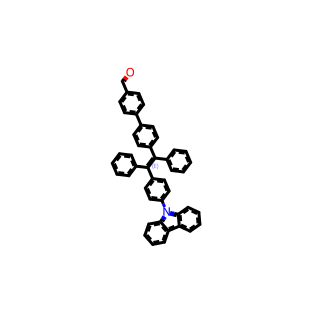 O=Cc1ccc(-c2ccc(/C(=C(\c3ccccc3)c3ccc(-n4c5ccccc5c5ccccc54)cc3)c3ccccc3)cc2)cc1